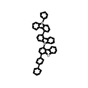 c1ccc(-c2ccc(-c3ccc(-n4c5ccccc5c5c(-c6cccc7c6c6ccccc6n7-c6ccccc6)cccc54)c4c3oc3ccccc34)cc2)cc1